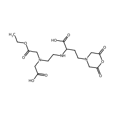 CCOC(=O)CN(CCNC(CCN1CC(=O)OC(=O)C1)C(=O)O)CC(=O)O